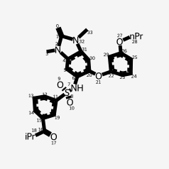 C=C1N(C)c2cc(NS(=O)(=O)c3cccc(C(=O)C(C)C)c3)c(Oc3cccc(OCCC)c3)cc2N1C